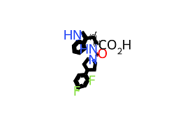 C[C@@H](c1c[nH]c2ccccc12)[C@@H](NC(=O)N1CCC(c2ccc(F)cc2F)CC1)C(=O)O